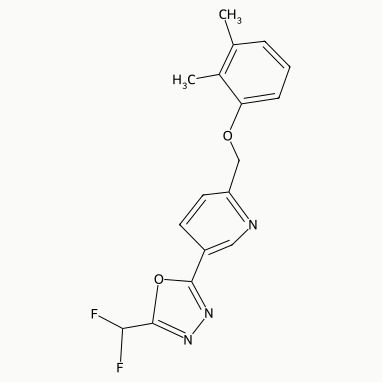 Cc1cccc(OCc2ccc(-c3nnc(C(F)F)o3)cn2)c1C